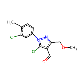 COCc1nn(-c2ccc(C)c(Cl)c2)c(Cl)c1C=O